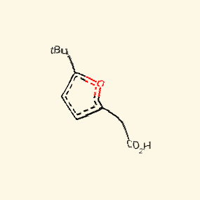 CC(C)(C)c1ccc(CC(=O)O)o1